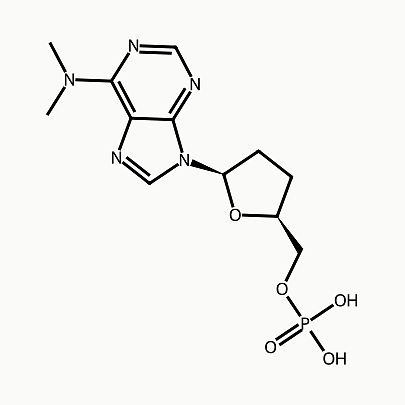 CN(C)c1ncnc2c1ncn2[C@H]1CC[C@@H](COP(=O)(O)O)O1